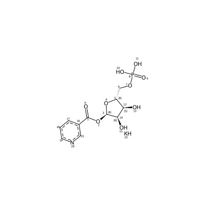 O=C(O[C@H]1O[C@H](COP(=O)(O)O)[C@@H](O)[C@H]1O)c1cccnc1.[KH]